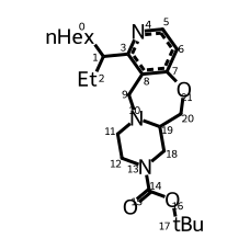 CCCCCCC(CC)c1nccc2c1CN1CCN(C(=O)OC(C)(C)C)CC1CO2